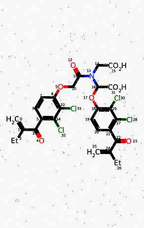 C=C(CC)C(=O)c1ccc(OCC(=O)N(CC(=O)O)C(Oc2ccc(C(=O)C(=C)CC)c(Cl)c2Cl)C(=O)O)c(Cl)c1Cl